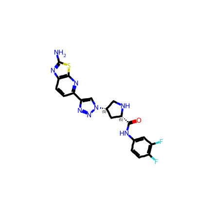 Nc1nc2ccc(-c3cn([C@@H]4CN[C@H](C(=O)Nc5ccc(F)c(F)c5)C4)nn3)nc2s1